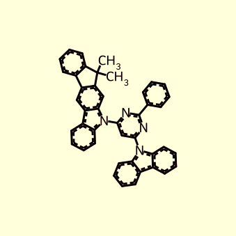 CC1(C)c2ccccc2-c2cc3c4ccccc4n(-c4cc(-n5c6ccccc6c6ccccc65)nc(-c5ccccc5)n4)c3cc21